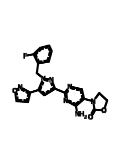 Nc1nc(-c2cc(-c3ccon3)n(Cc3ccccc3F)n2)ncc1N1CCOC1=O